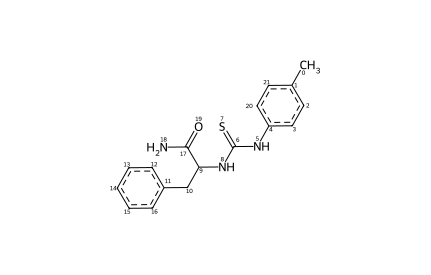 Cc1ccc(NC(=S)NC(Cc2ccccc2)C(N)=O)cc1